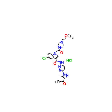 CCCC(=O)c1cnn(-c2ccc(NC(=O)c3cn(CC(=O)N4CCN(CCOC(F)(F)F)CC4)c4ccc(Cl)cc34)nn2)c1C.Cl